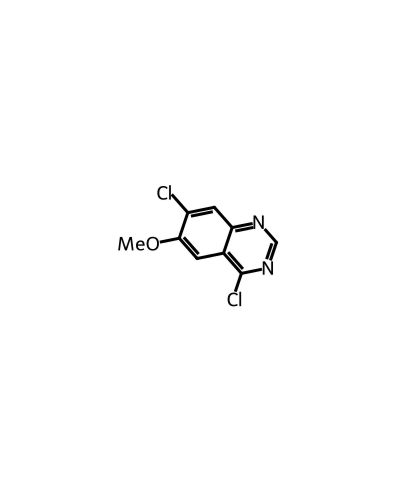 COc1cc2c(Cl)ncnc2cc1Cl